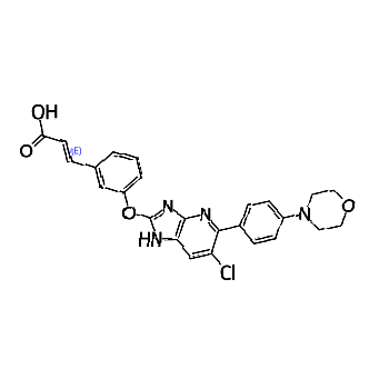 O=C(O)/C=C/c1cccc(Oc2nc3nc(-c4ccc(N5CCOCC5)cc4)c(Cl)cc3[nH]2)c1